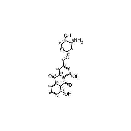 NC1C[C@H](OCc2cc(O)c3c(c2)C(=O)c2cccc(O)c2C3=O)OC[C@@H]1O